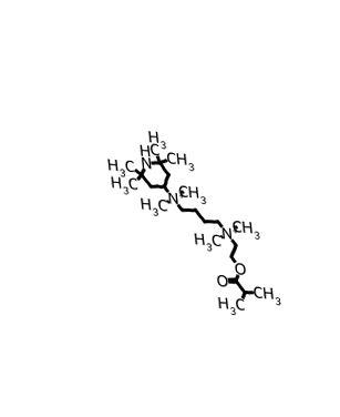 CC(C)C(=O)OCC[N+](C)(C)CCCC[N+](C)(C)C1CC(C)(C)NC(C)(C)C1